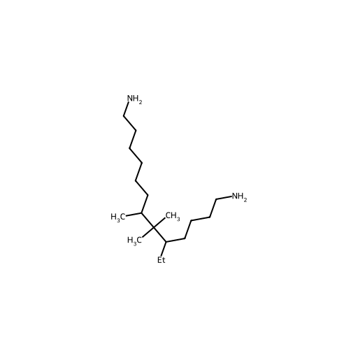 CCC(CCCCN)C(C)(C)C(C)CCCCCCN